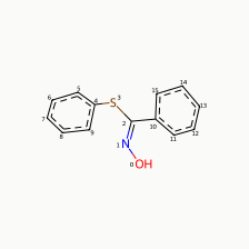 ON=C(Sc1ccccc1)c1ccccc1